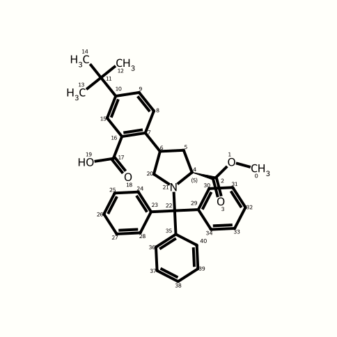 COC(=O)[C@@H]1CC(c2ccc(C(C)(C)C)cc2C(=O)O)CN1C(c1ccccc1)(c1ccccc1)c1ccccc1